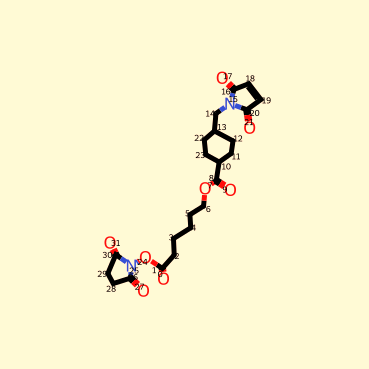 O=C(CCCCCOC(=O)C1CCC(CN2C(=O)C=CC2=O)CC1)ON1C(=O)CCC1=O